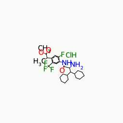 COC(=O)C(C)c1cc(F)c(NC(=O)C(N)C(C2CCCCC2)C2CCCCC2)cc1C(F)(F)F.Cl